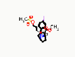 COC(=O)[C@@H]1C2CCC(C[C@@]1(CCCOS(C)(=O)=O)c1ccc(I)cc1)N2C